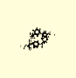 CC(=O)Nc1ccc(Nc2ncc3c(C)nc(-c4cccc(C(F)(F)F)c4)n3n2)cc1